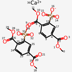 COC(=O)c1ccc(C(=O)OC)c(S(=O)(=O)[O-])c1.COC(=O)c1ccc(C(=O)OC)c(S(=O)(=O)[O-])c1.[Ca+2]